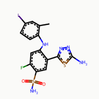 Cc1cc(I)ccc1Nc1cc(F)c(S(N)(=O)=O)cc1-c1nnc(N)s1